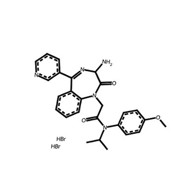 Br.Br.COc1ccc(N(C(=O)CN2C(=O)C(N)N=C(c3cccnc3)c3ccccc32)C(C)C)cc1